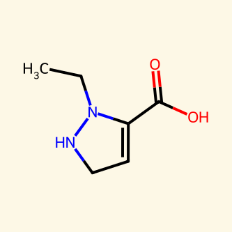 CCN1NCC=C1C(=O)O